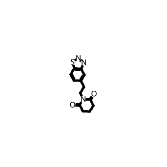 O=C1CCCC(=O)N1CCc1ccc2snnc2c1